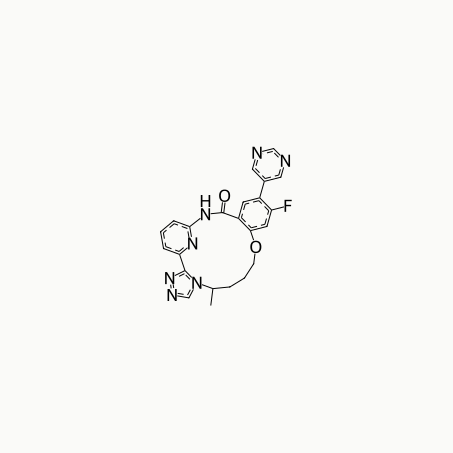 CC1CCCOc2cc(F)c(-c3cncnc3)cc2C(=O)Nc2cccc(n2)-c2nncn21